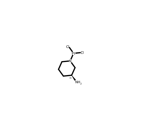 N[C@H]1CCC[N]([Pt]([Cl])[Cl])C1